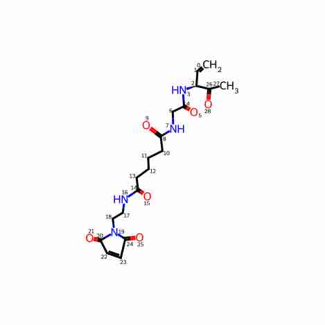 C=C[C@H](NC(=O)CNC(=O)CCCCC(=O)NCCN1C(=O)C=CC1=O)C(C)=O